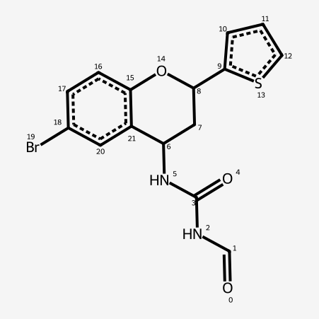 O=CNC(=O)NC1CC(c2cccs2)Oc2ccc(Br)cc21